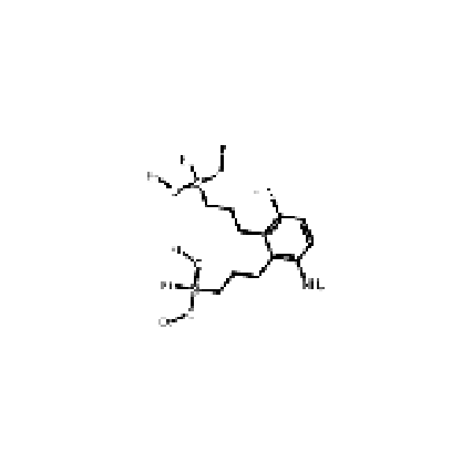 CCO[Si](CC)(CCCc1c(N)ccc(N)c1CCC[Si](CC)(OCC)OCC)OCC